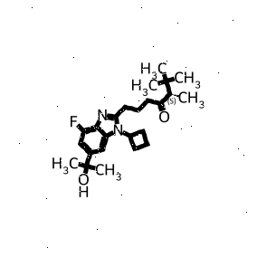 C[C@H](C(=O)CCCc1nc2c(F)cc(C(C)(C)O)cc2n1C1CCC1)C(C)(C)C